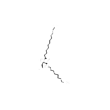 CCCCCCCCCCCCCC(=O)NC(CC=O)C(=O)NCCCCCCCCC